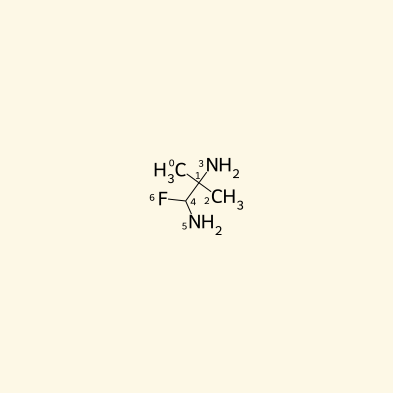 CC(C)(N)C(N)F